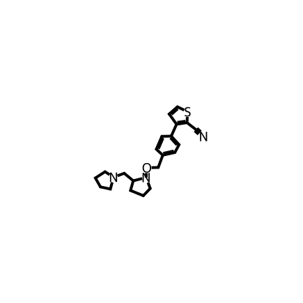 N#Cc1sccc1-c1ccc(CON2CCCC2CN2CCCC2)cc1